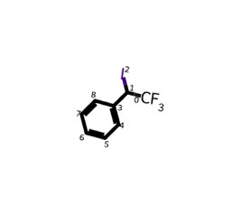 FC(F)(F)C(I)c1ccccc1